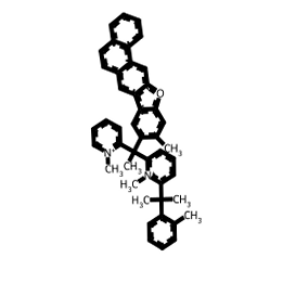 Cc1ccccc1C(C)(C)c1cccc(C(C)(c2cc3c(cc2C)oc2cc4c(ccc5ccccc54)cc23)c2cccc[n+]2C)[n+]1C